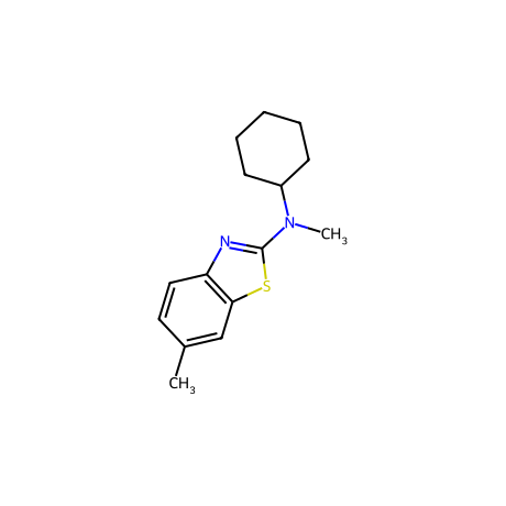 Cc1ccc2nc(N(C)C3CCCCC3)sc2c1